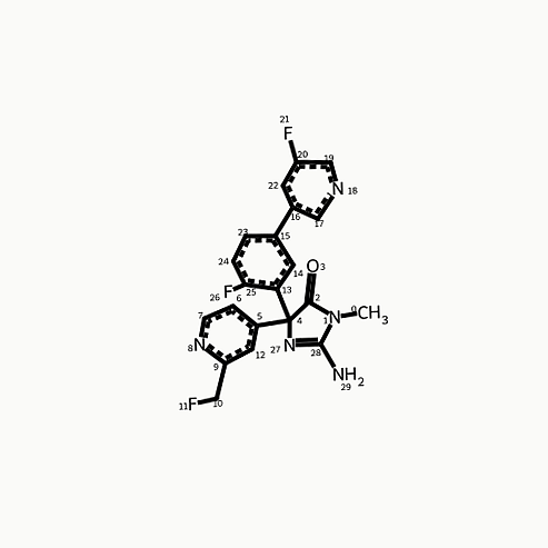 CN1C(=O)C(c2ccnc(CF)c2)(c2cc(-c3cncc(F)c3)ccc2F)N=C1N